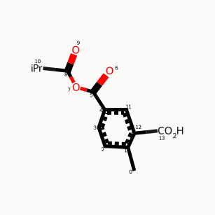 Cc1ccc(C(=O)OC(=O)C(C)C)cc1C(=O)O